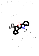 CCn1c2ccccc2c2oc3c(c21)-c1ccccc1C3(CC)CC